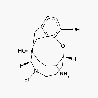 CCN1CCC[C@H]2Oc3c(O)ccc4c3C[C@@](O)(CCC2N)[C@H]1C4